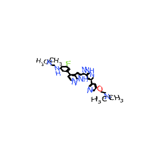 CN(C)CCNc1cc(F)cc(-c2ccnc3[nH]c(-c4n[nH]c5ncc(-c6cncc(OCCN(C)C)c6)cc45)cc23)c1